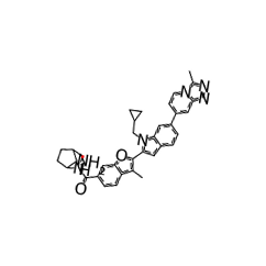 Cc1c(-c2cc3ccc(-c4ccn5c(C)nnc5c4)cc3n2CC2CC2)oc2cc(C(=O)N3CC4CCC3[C@@H]4N)ccc12